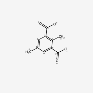 Cc1cc(C(=O)Cl)c(C)c(C(=O)Cl)c1